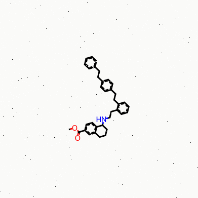 COC(=O)c1ccc2c(c1)CCCC2NCCc1ccccc1CCc1ccc(CCc2ccccc2)cc1